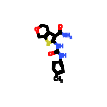 Cc1ccc(NC(=O)Nc2sc3c(c2C(N)=O)CCOC3)cc1